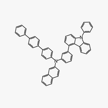 c1ccc(-c2ccc(-c3ccc(N(c4cccc(-c5cccc6c5c5ccccc5n6-c5ccccc5)c4)c4ccc5ccccc5c4)cc3)cc2)cc1